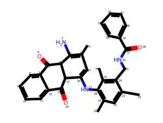 CC1=C(N)C2C(=O)c3ccccc3C(=O)C2C(Nc2c(C)cc(C)c(CNC(=O)c3ccccc3)c2C)=C1